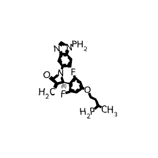 C=C1C(=O)N(c2ccc3c(c2)ncn3P)[C@H]1c1c(F)cc(OCCC(C)P)cc1F